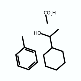 CC(=O)O.CC(O)C1CCCCC1.Cc1ccccc1